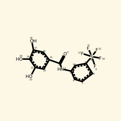 O=C(Nc1cccc(S(F)(F)(F)(F)F)c1)c1cc(O)c(O)c(O)c1